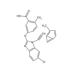 C#Cn1c(Oc2ccc(C)c(C(=O)O)c2)nc2ccc(Cl)cc21.Cc1ccc2cc1-2